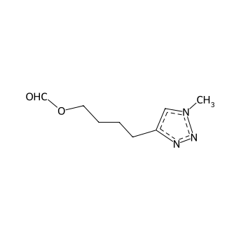 Cn1cc(CCCCOC=O)nn1